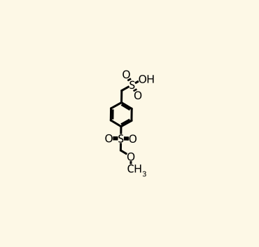 COCS(=O)(=O)c1ccc(CS(=O)(=O)O)cc1